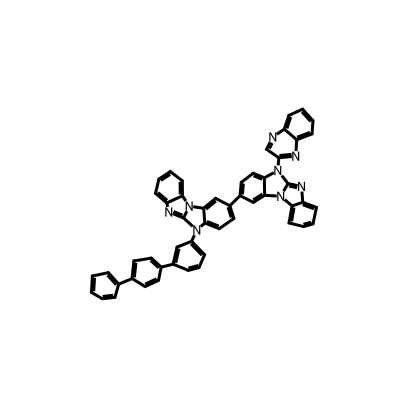 c1ccc(-c2ccc(-c3cccc(-n4c5ccc(-c6ccc7c(c6)n6c8ccccc8nc6n7-c6cnc7ccccc7n6)cc5n5c6ccccc6nc45)c3)cc2)cc1